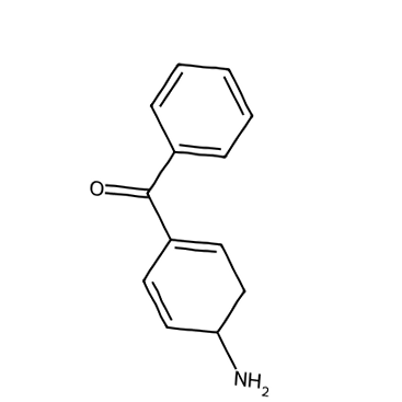 NC1C=CC(C(=O)c2ccccc2)=CC1